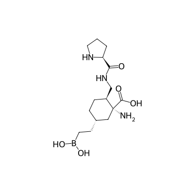 N[C@]1(C(=O)O)C[C@H](CCB(O)O)CC[C@H]1CNC(=O)[C@@H]1CCCN1